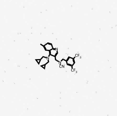 Cc1ccc2ncc(CN(C#N)Cc3cc(C(F)(F)F)cc(C(F)(F)F)c3)c(N(CC3CC3)CC3CC3)c2c1